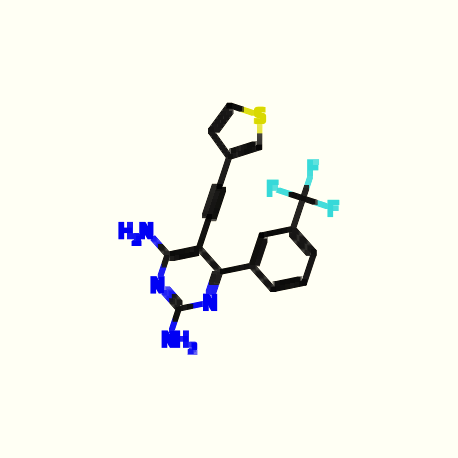 Nc1nc(N)c(C#Cc2ccsc2)c(-c2cccc(C(F)(F)F)c2)n1